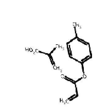 C=C(C)C(=O)O.C=CC(=O)Oc1ccc(C)cc1